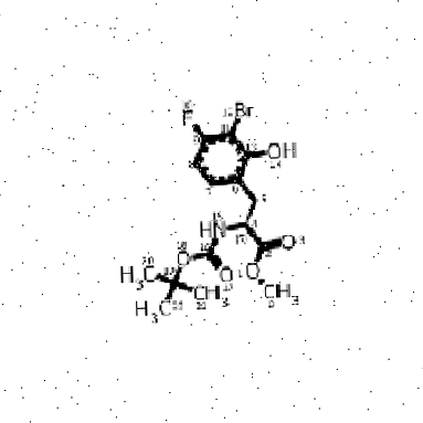 COC(=O)[C@H](Cc1ccc(F)c(Br)c1O)NC(=O)OC(C)(C)C